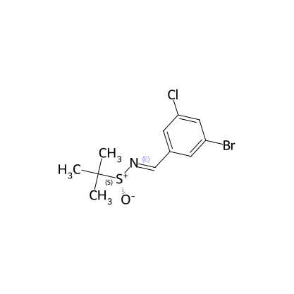 CC(C)(C)[S@@+]([O-])/N=C/c1cc(Cl)cc(Br)c1